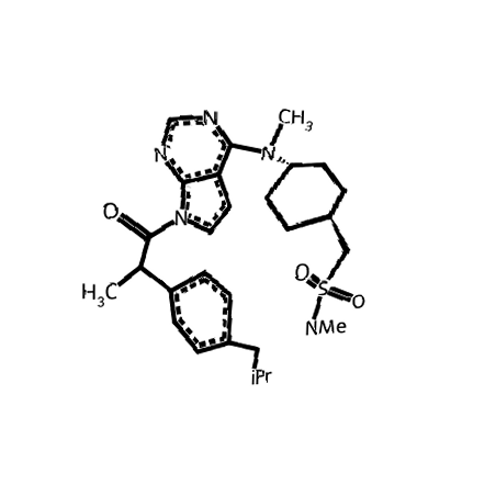 CNS(=O)(=O)C[C@H]1CC[C@H](N(C)c2ncnc3c2ccn3C(=O)C(C)c2ccc(CC(C)C)cc2)CC1